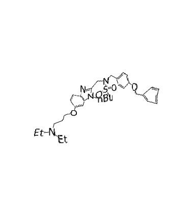 CCCCn1c(CN(Cc2ccc(OCc3ccccc3)cc2)S(C)(=O)=O)nc2ccc(OCCCN(CC)CC)cc21